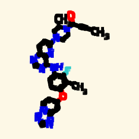 CC#CC(=O)N1CCN(c2ccc3ncnc(Nc4ccc(Oc5ccn6ncnc6c5)c(C)c4F)c3n2)C[C@H]1C